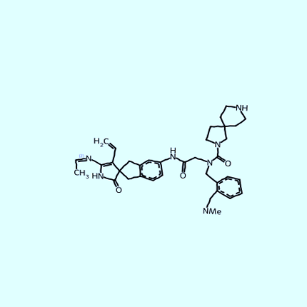 C=CC1=C(/N=C\C)NC(=O)C12Cc1ccc(NC(=O)CN(Cc3ccccc3CNC)C(=O)N3CCC4(CCNCC4)C3)cc1C2